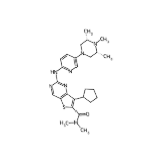 C[C@@H]1CN(c2ccc(Nc3ncc4sc(C(=O)N(C)C)c(C5CCCC5)c4n3)nc2)C[C@H](C)N1C